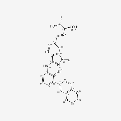 C[C@@H](O)[C@H](N=Cc1cnc2c(Nc3cccc(-c4ccc5c(c4)OCCO5)c3Br)nn(C)c2c1)C(=O)O